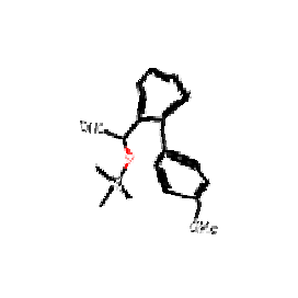 COc1ccc(-c2ccccc2C(C=O)O[Si](C)(C)C)cc1